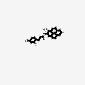 Cc1c(OC(=O)C=Cc2ccc(Cl)cc2Cl)cc2ccc3cccc4ccc1c2c34